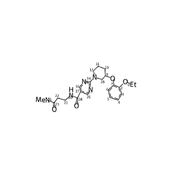 CCOc1ccccc1OC1CCCN(c2ncc(C(=O)NCCC(=O)NC)cn2)C1